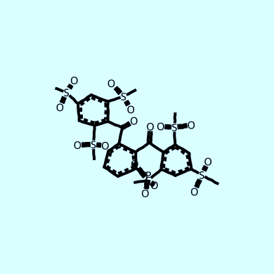 CS(=O)(=O)c1cc(S(C)(=O)=O)c(C(=O)c2cccc(P=O)c2C(=O)c2c(S(C)(=O)=O)cc(S(C)(=O)=O)cc2S(C)(=O)=O)c(S(C)(=O)=O)c1